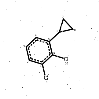 Clc1cc[c]c(C2CC2)c1Cl